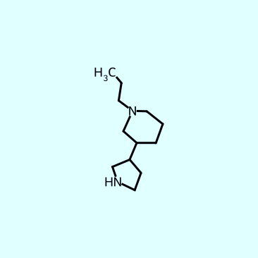 CCCN1CCCC(C2CCNC2)C1